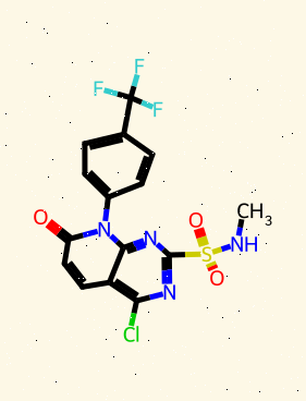 CNS(=O)(=O)c1nc(Cl)c2ccc(=O)n(-c3ccc(C(F)(F)F)cc3)c2n1